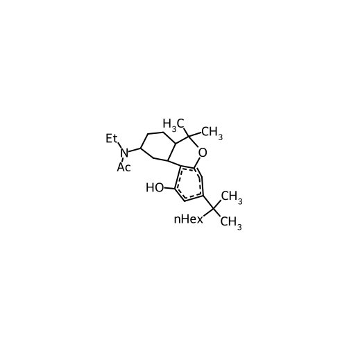 CCCCCCC(C)(C)c1cc(O)c2c(c1)OC(C)(C)C1CCC(N(CC)C(C)=O)CC21